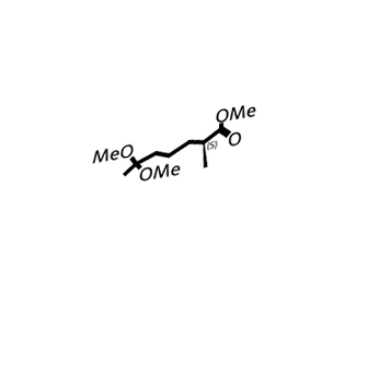 COC(=O)[C@@H](C)CCCC(C)(OC)OC